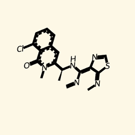 C=N/C(N[C@@H](C)c1cc2cccc(Cl)c2c(=O)n1C)=C1/N=CS/C1=N/C